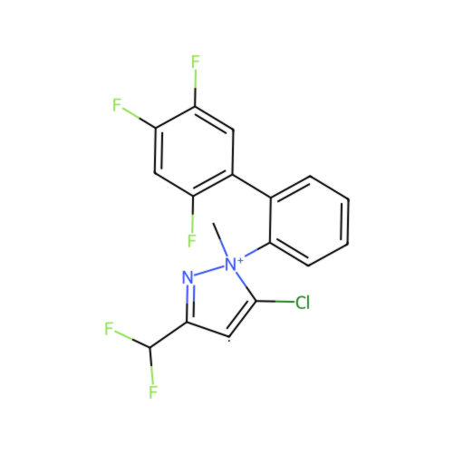 C[N+]1(c2ccccc2-c2cc(F)c(F)cc2F)N=C(C(F)F)[C]=C1Cl